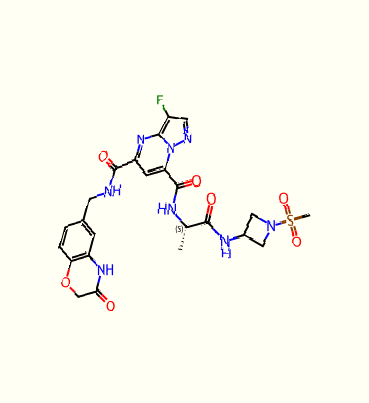 C[C@H](NC(=O)c1cc(C(=O)NCc2ccc3c(c2)NC(=O)CO3)nc2c(F)cnn12)C(=O)NC1CN(S(C)(=O)=O)C1